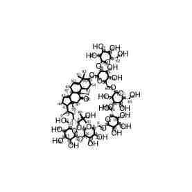 C[C@H](CC[C@@H](O[C@@H]1O[C@H](CO[C@@H]2O[C@H](CO)[C@@H](O)[C@H](O)[C@H]2O)[C@@H](O)[C@H](O)[C@H]1O[C@H]1O[C@@H](CO)[C@H](O)[C@@H](O)[C@@H]1O)C(C)(C)O)C1CC[C@@]2(C)C3CC=C4C(CC[C@H](O[C@@H]5O[C@H](CO[C@@H]6O[C@H](CO)[C@@H](O)[C@H](O)[C@H]6O)[C@@H](O)[C@H](O)[C@H]5OC5O[C@@H](CO)[C@H](O)[C@@H](O)[C@@H]5O)C4(C)C)[C@]3(C)C(=O)C[C@]12C